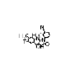 Cc1cc2c(cc1F)C[C@]1(O)CC(=O)N(c3cccc(C#N)c3C)C1=N2